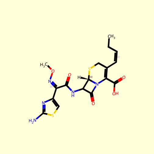 CC/C=C\C1=C(C(=O)O)N2C(=O)C(NC(=O)/C(=N\OC)c3csc(N)n3)[C@@H]2SC1